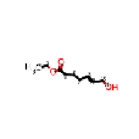 CCOC(=O)CCCC=CCO